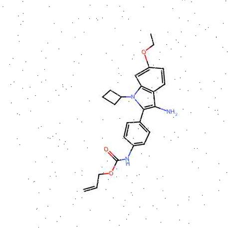 C=CCOC(=O)Nc1ccc(-c2c(N)c3ccc(OCC)cc3n2C2CCC2)cc1